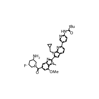 COc1cc(C(=O)N2C[C@H](N)C[C@@H](F)C2)cc2nc(-c3cc4ccc(-c5ccc(NC(=O)C(C)(C)C)nc5)nc4n3CC3CC3)n(C)c12